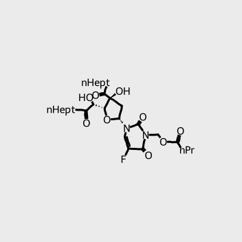 CCCCCCCC(=O)C(O)[C@H]1O[C@@H](n2cc(F)c(=O)n(COC(=O)CCC)c2=O)C[C@@]1(O)C(=O)CCCCCCC